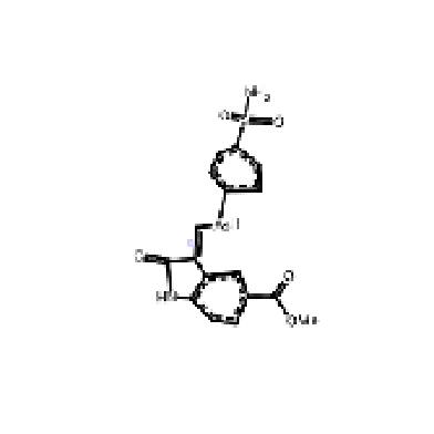 COC(=O)c1ccc2c(c1)/C(=C\[AsH]c1ccc(S(N)(=O)=O)cc1)C(=O)N2